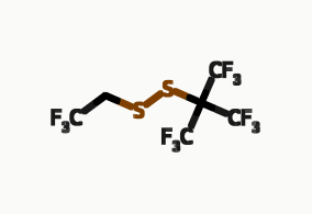 FC(F)(F)CSSC(C(F)(F)F)(C(F)(F)F)C(F)(F)F